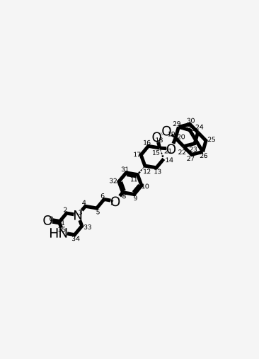 O=C1CN(CCCOc2ccc([C@H]3CC[C@]4(CC3)OO[C@]3(O4)C4CC5CC(C4)CC3C5)cc2)CCN1